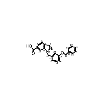 O=C(O)c1ccc2cnn(Cc3cccc(OCc4ccccc4)c3)c2c1